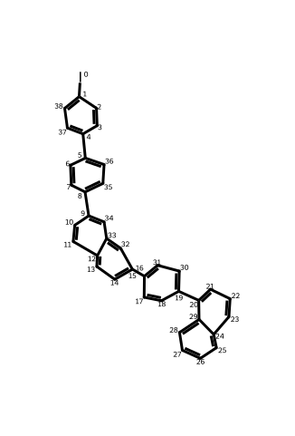 Ic1ccc(-c2ccc(-c3ccc4ccc(-c5ccc(-c6cccc7ccccc67)cc5)cc4c3)cc2)cc1